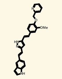 COc1cc(C=Cc2cc(C=Cc3ccc4[nH]ccc4c3)n[nH]2)ccc1OCc1ccccn1